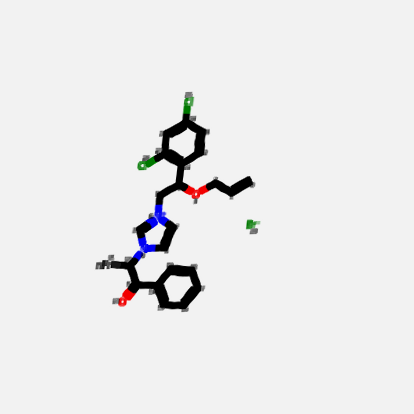 C=CCOC(C[n+]1ccn(C(CCC)C(=O)c2ccccc2)c1)c1ccc(Cl)cc1Cl.[Br-]